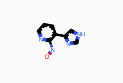 O=Nc1ncccc1-c1c[nH]cn1